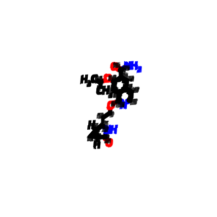 CC(C)Oc1cc2c(OCC[C@H]3NC(=O)[C@@H]4C[C@H]34)nccc2cc1C(N)=O